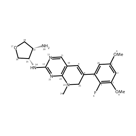 COc1cc(OC)c(F)c(C2=Cc3cnc(N[C@@H]4COC[C@@H]4N)nc3N(C)C2)c1